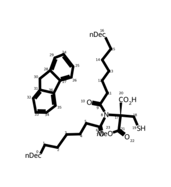 CCCCCCCCCCCCCCCC(=O)N(C(=O)CCCCCCCCCCCCCCC)[C@@](CS)(C(=O)O)C(=O)OC.c1ccc2c(c1)Cc1ccccc1-2